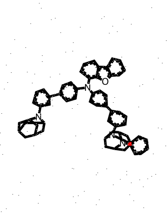 c1ccc(N2C3CC4CC2CC(C3)N4c2cccc(-c3ccc(N(c4ccc(-c5cccc(N6C7CC8CC(C7)CC6C8)c5)cc4)c4cccc5c4oc4ccccc45)cc3)c2)cc1